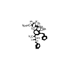 COC(=O)[C@H](C(C)C)N(C(C)=O)C(=O)[C@@](N)(C(C)C)C1CCC([C@H](C)NC(=O)OCc2ccccc2)=CC(Cc2ccccc2)C1O